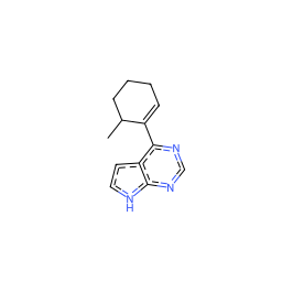 CC1CCCC=C1c1ncnc2[nH]ccc12